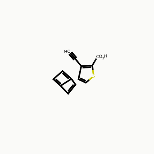 C#Cc1ccsc1C(=O)O.c1cc2ccc1-2